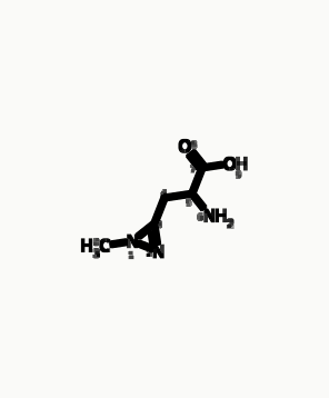 CN1N=C1CC(N)C(=O)O